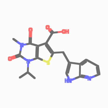 CC(C)n1c(=O)n(C)c(=O)c2c(C(=O)O)c(Cc3c[nH]c4ncccc34)sc21